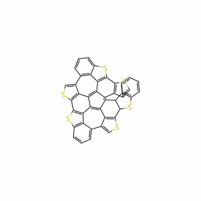 c1cc2c3c(c1)-c1csc4c5sc6cccc7c8csc9c%10sc%11cccc%12c%13csc%14c%13c%13c(c(c14)c(c5c67)c(c89)c%13c%10c%11%12)C3C%14S2